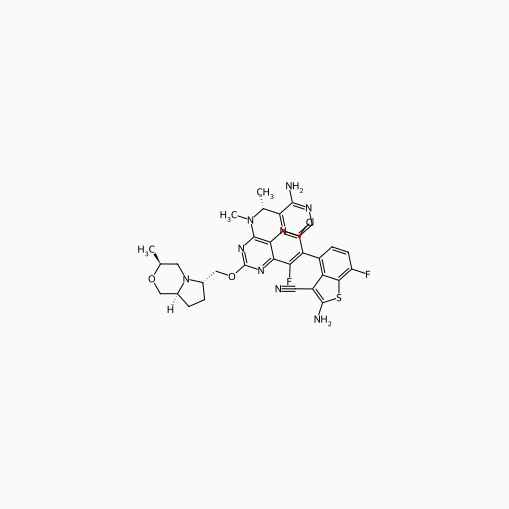 C[C@H](c1nccnc1N)N(C)c1nc(OC[C@@H]2CC[C@H]3CO[C@@H](C)CN23)nc2c(F)c(-c3ccc(F)c4sc(N)c(C#N)c34)c(Cl)cc12